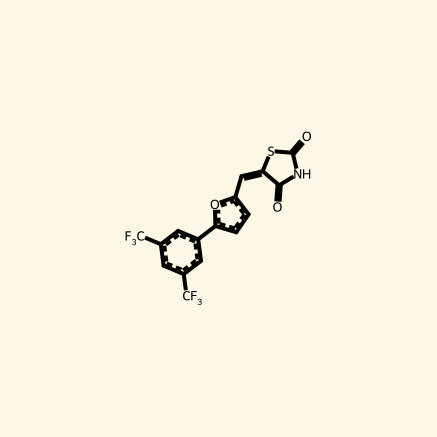 O=C1NC(=O)/C(=C\c2ccc(-c3cc(C(F)(F)F)cc(C(F)(F)F)c3)o2)S1